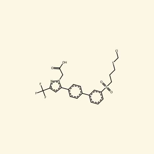 O=C(O)Cn1nc(C(F)(F)F)cc1-c1ccc(-c2cccc(S(=O)(=O)CCCSCCl)c2)cc1